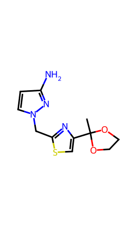 CC1(c2csc(Cn3ccc(N)n3)n2)OCCO1